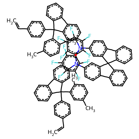 C=Cc1ccc(C2(c3cc(C)ccc3C)c3ccccc3-c3ccc(N(c4ccc5c(c4)C4(c6ccccc6-5)c5ccccc5-c5ccc(N(c6ccc7c(c6)C(c6ccc(C=C)cc6)(c6cc(C)ccc6C)c6ccccc6-7)c6c(F)c(F)c(F)c(F)c6F)cc54)c4c(F)c(F)c(F)c(F)c4F)cc32)cc1